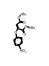 CCCCOC(=O)/C=C(/Oc1ccc([N+](=O)[O-])cc1)C(=O)OCCCC